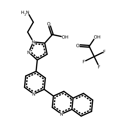 NCCn1nc(-c2ccnc(-c3cnc4ccccc4c3)c2)cc1C(=O)O.O=C(O)C(F)(F)F